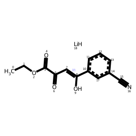 CCOC(=O)C(=O)/C=C(\O)c1cccc(C#N)c1.[LiH]